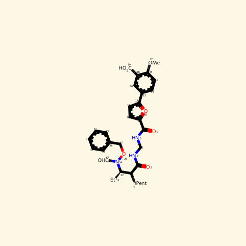 CCCCCC(C(=O)NCNC(=O)c1ccc(-c2ccc(OC)c(C(=O)O)c2)o1)[C@@H](CC)N(C=O)OCc1ccccc1